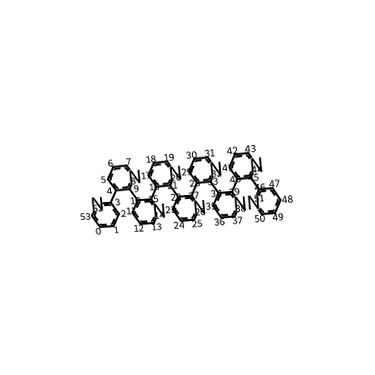 c1ccc(-c2cccnc2-c2cccnc2-c2cccnc2-c2cccnc2-c2cccnc2-c2cccnc2-c2cccnc2-c2ccccn2)nc1